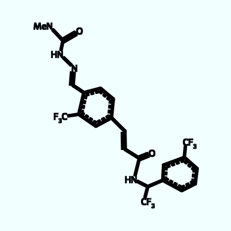 CNC(=O)NN=Cc1ccc(C=CC(=O)NC(c2cccc(C(F)(F)F)c2)C(F)(F)F)cc1C(F)(F)F